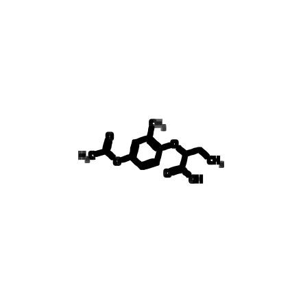 CCC(Oc1ccc(OC(C)=O)cc1C)C(=O)O